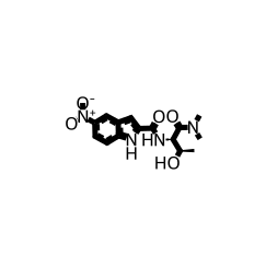 C[C@@H](O)[C@H](NC(=O)c1cc2cc([N+](=O)[O-])ccc2[nH]1)C(=O)N(C)C